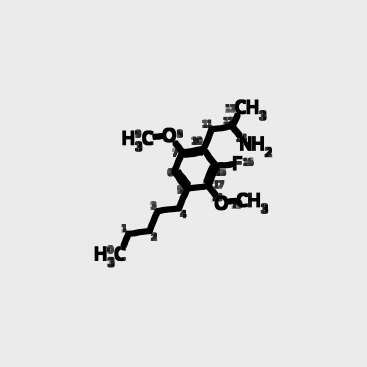 CCCCCc1cc(OC)c(CC(C)N)c(F)c1OC